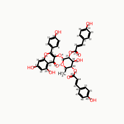 CC1O[C@@H](Oc2c(-c3ccc(O)cc3)oc3cc(O)cc(O)c3c2=O)[C@@H](OC(=O)/C=C/c2ccc(O)cc2)C(O)[C@H]1OC(=O)/C=C/c1ccc(O)cc1